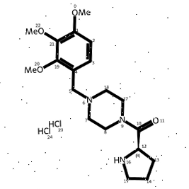 COc1ccc(CN2CCN(C(=O)[C@H]3CCCN3)CC2)c(OC)c1OC.Cl.Cl